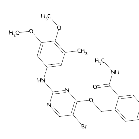 CNC(=O)c1ccccc1COc1nc(Nc2cc(C)c(OC)c(OC)c2)ncc1Br